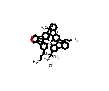 CCCCc1cc2c([c]([Zr]([c]3cc(CCCC)cc4c3Cc3ccccc3-4)([c]3cc(C(C)(C)C)cc4c3Cc3ccccc3-4)[c]3cc(C(C)(C)C)cc4c3Cc3ccccc3-4)c1)Cc1ccccc1-2.[Cl-].[Cl-]